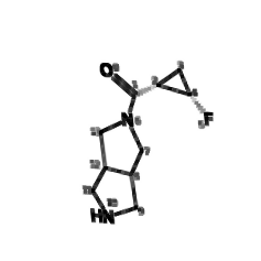 O=C([C@@H]1C[C@@H]1F)N1CC2CNCC2C1